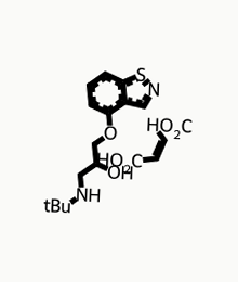 CC(C)(C)NCC(O)COc1cccc2sncc12.O=C(O)/C=C\C(=O)O